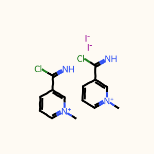 C[n+]1cccc(C(=N)Cl)c1.C[n+]1cccc(C(=N)Cl)c1.[I-].[I-]